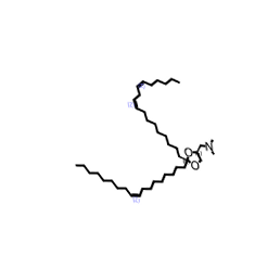 CCCCC/C=C\C/C=C\CCCCCCCC[C@]1(CCCCCCCC/C=C\CCCCCCCC)OC[C@H](CN(C)C)O1